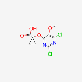 COc1c(Cl)nc(Cl)nc1OC1(C(=O)O)CC1